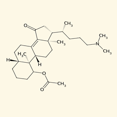 CC(=O)OC1CCC[C@@H]2CCC3=C4C(=O)C[C@H]([C@H](C)CCCN(C)C)[C@@]4(C)CC[C@@H]3[C@@]12C